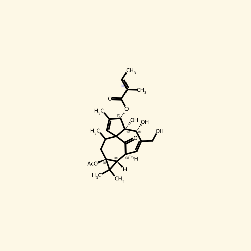 C/C=C(\C)C(=O)O[C@H]1C(C)=CC23C(=O)[C@@H](C=C(CO)[C@@H](O)[C@]12O)[C@@H]1C(C)(C)[C@]1(OC(C)=O)CC3C